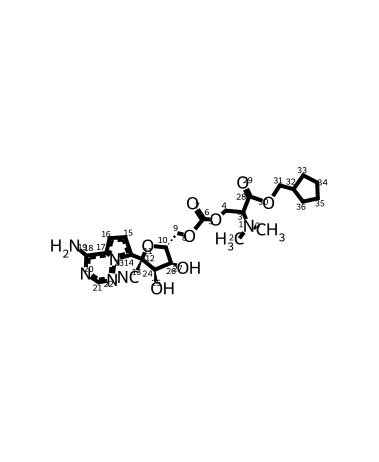 CN(C)C(COC(=O)OC[C@H]1O[C@@](C#N)(c2ccc3c(N)ncnn23)[C@H](O)[C@@H]1O)C(=O)OCC1CCCC1